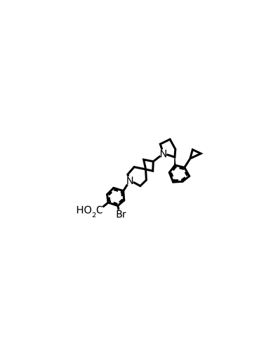 O=C(O)c1ccc(N2CCC3(CC2)CC(N2CCC[C@H]2c2ccccc2C2CC2)C3)cc1Br